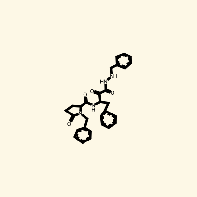 O=C(NNCc1ccccc1)C(=O)C(Cc1ccccc1)NC(=O)C1CCC(=O)N1Cc1ccccc1